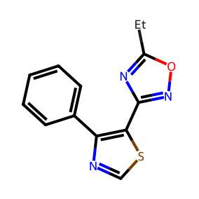 CCc1nc(-c2scnc2-c2ccccc2)no1